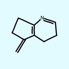 C=C1CCC2=C1CCC=N2